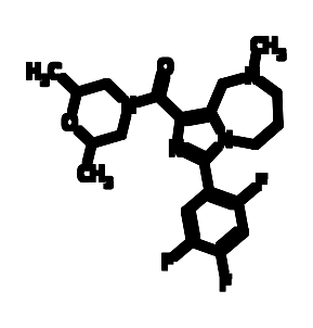 CC1CN(C(=O)c2nc(-c3cc(F)c(F)cc3F)n3c2CN(C)CCC3)CC(C)O1